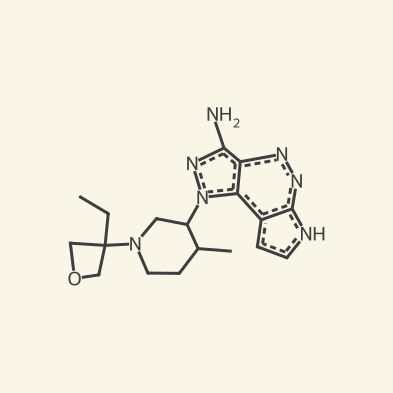 CCC1(N2CCC(C)C(n3nc(N)c4nnc5[nH]ccc5c43)C2)COC1